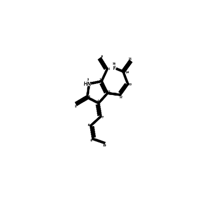 C=Cc1[nH]c(=C)/c(=C\C=C/C)c1/C=C\C(=C)F